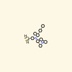 C1=S234C[C@H]2CC1(c1ccc(N(c2ccc(-c5ccccc5-n5c6ccccc6c6ccccc65)cc2)c2ccc(-c5ccc(-c6ccccc6)cc5)c5ccccc25)cc1)C[C@@H]3C4